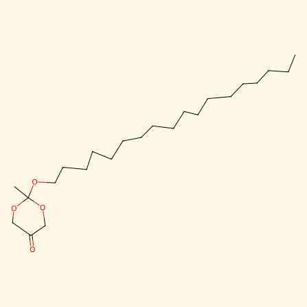 CCCCCCCCCCCCCCCCCCOC1(C)OCC(=O)CO1